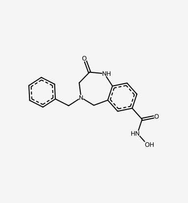 O=C1CN(Cc2ccccc2)Cc2cc(C(=O)NO)ccc2N1